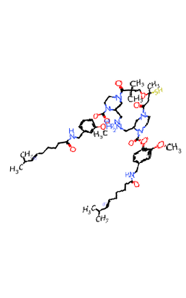 COc1cc(CNC(=O)CCCC/C=C/C(C)C)ccc1OC(=O)N1CCN(C(=O)CC(C)(S)OCC(C)(C)C(=O)N2CCN(C(=O)Oc3ccc(CNC(=O)CCCC/C=C/C(C)C)cc3OC)C(CN)C2)CC1CN